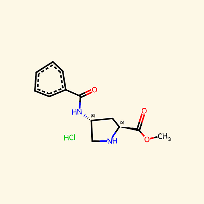 COC(=O)[C@@H]1C[C@@H](NC(=O)c2ccccc2)CN1.Cl